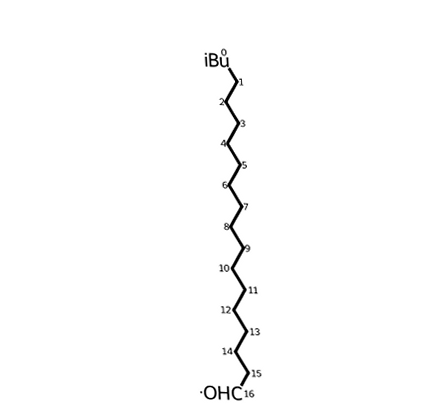 CCC(C)CCCCCCCCCCCCCCC[C]=O